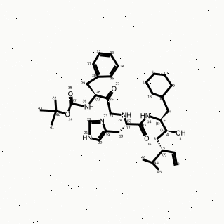 C=C[C@@H](C[C@H](O)[C@H](CC1CCCCC1)NC(=O)[C@H](Cc1c[nH]cn1)NCC(=O)[C@H](Cc1ccccc1)NC(=O)OC(C)(C)C)C(C)C